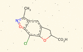 Cc1noc2c(Cl)c3c(cc12)CC(C(=O)O)O3